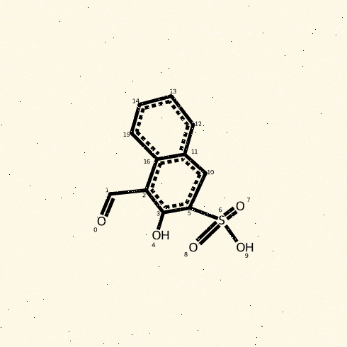 O=Cc1c(O)c(S(=O)(=O)O)cc2ccccc12